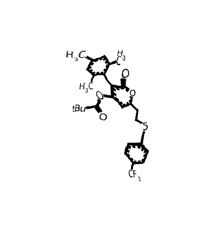 Cc1cc(C)c(-c2c(OC(=O)C(C)(C)C)cc(CCSc3ccc(C(F)(F)F)cc3)oc2=O)c(C)c1